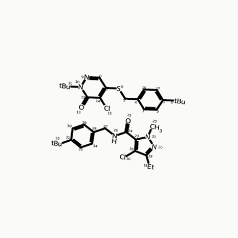 CC(C)(C)c1ccc(CSc2cnn(C(C)(C)C)c(=O)c2Cl)cc1.CCc1nn(C)c(C(=O)NCc2ccc(C(C)(C)C)cc2)c1Cl